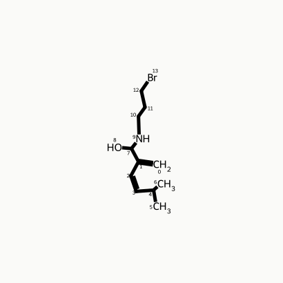 C=C(/C=C\C(C)C)C(O)NCCCBr